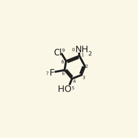 Nc1ccc(O)c(F)c1Cl